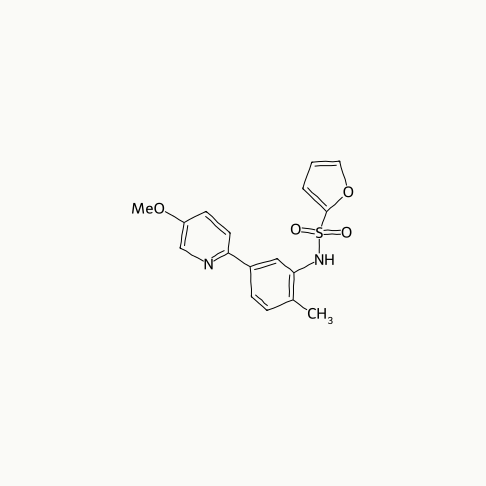 COc1ccc(-c2ccc(C)c(NS(=O)(=O)c3ccco3)c2)nc1